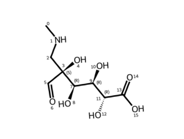 CNC[C@@](O)(C=O)[C@H](O)[C@@H](O)[C@@H](O)C(=O)O